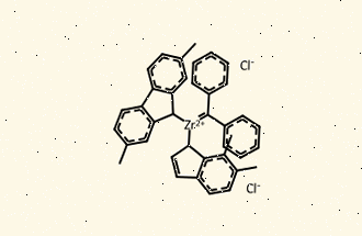 Cc1ccc2c(c1)[CH]([Zr+2](=[C](c1ccccc1)c1ccccc1)[CH]1C=Cc3ccc(C)c(C)c31)c1cc(C)ccc1-2.[Cl-].[Cl-]